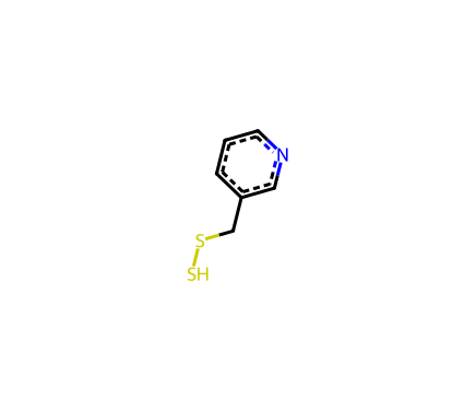 SSCc1cccnc1